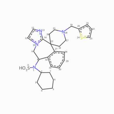 O=S(=O)(O)N(C1CCCCC1)C1Cn2ccnc2C2(CCN(Cc3cccs3)CC2)c2ccccc21